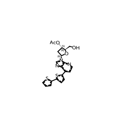 CC(=O)O[C@H]1C[C@H](n2cnc3c(-c4ccc(-c5cccs5)s4)ccnc32)O[C@@H]1CO